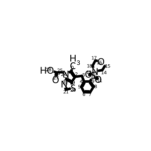 Cc1c(Cc2ccccc2S(=O)(=O)N2CCOCC2)c2scnc2n1CC(=O)O